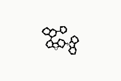 c1ccc(-c2cc(-c3cccc4oc5cc(-n6c7ccccc7c7ccccc76)ccc5c34)c3ccccc3c2)cc1